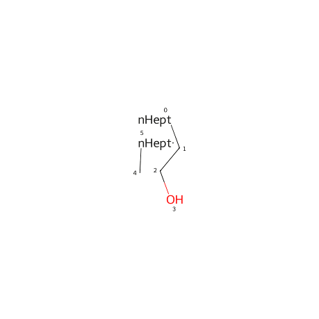 CCCCCCCCCO.C[CH]CCCCCC